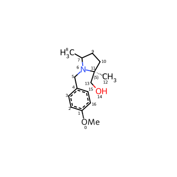 COc1ccc(CN2C(C)CC[C@@]2(C)CO)cc1